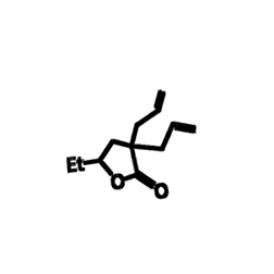 C=CCC1(CC=C)CC(CC)OC1=O